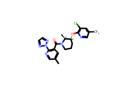 Cc1cnc(-n2nccn2)c(C(=O)N2CCC[C@@H](Oc3ncc(C(F)(F)F)cc3Cl)[C@@H]2C)c1